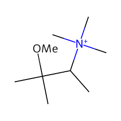 COC(C)(C)C(C)[N+](C)(C)C